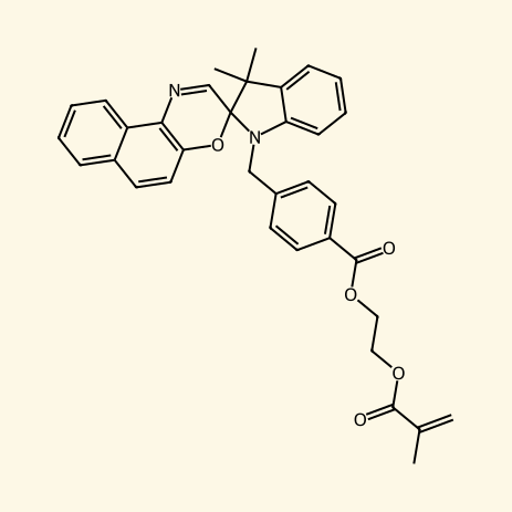 C=C(C)C(=O)OCCOC(=O)c1ccc(CN2c3ccccc3C(C)(C)C23C=Nc2c(ccc4ccccc24)O3)cc1